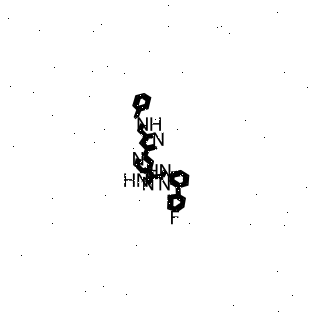 Fc1ccc(-c2cccc3[nH]c(-c4n[nH]c5cnc(-c6cncc(CNCc7ccccc7)c6)cc45)nc23)cc1